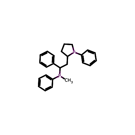 CP(c1ccccc1)C(CC1CCCP1c1ccccc1)c1ccccc1